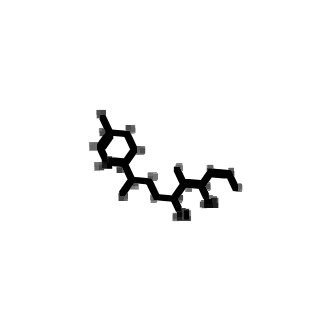 C/C=C\C(CC)=C(/C)C(CC)CCC(C)C1=NC=C(C)CC1